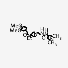 CCN(C(=O)Cc1ccc(OC)c(OC)c1)C1CCN(CCNC(=O)Nc2cc(C)nc(C)c2)CC1